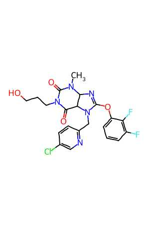 CN1C(=O)N(CCCO)C(=O)C2C1N=C(Oc1cccc(F)c1F)N2Cc1ccc(Cl)cn1